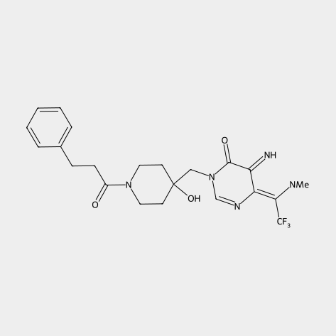 CN/C(=C1/N=CN(CC2(O)CCN(C(=O)CCc3ccccc3)CC2)C(=O)C1=N)C(F)(F)F